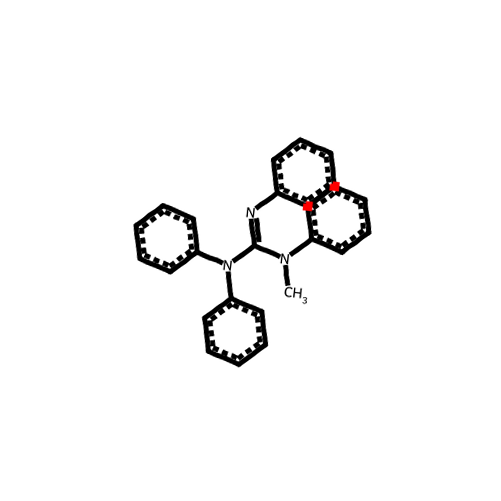 CN(C(=Nc1ccccc1)N(c1ccccc1)c1ccccc1)c1ccccc1